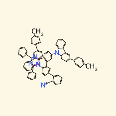 Cc1ccc(-c2ccc3c(c2)c2ccccc2n3-c2ccc(-c3nc(-c4ccccc4)nc(-c4ccccc4)n3)c(-c3cc(-c4ccccc4C#N)ccc3-n3c4ccccc4c4cc(-c5ccc(C)cc5)ccc43)c2)cc1